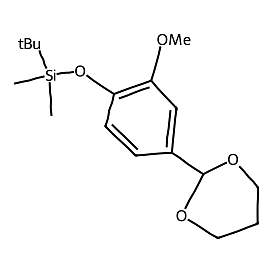 COc1cc(C2OCCCO2)ccc1O[Si](C)(C)C(C)(C)C